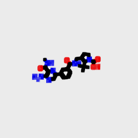 CNC(=O)c1nc(-c2cccc(C(=O)NCC3CCN(C(=O)O)C3C(C)(C)C)c2)cnc1N